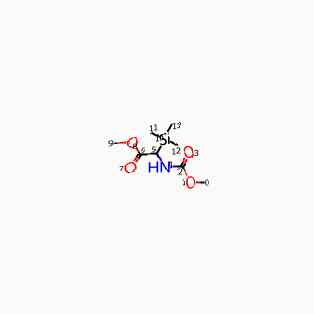 COC(=O)NC(C(=O)OC)[Si](C)(C)C